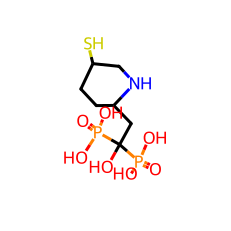 O=P(O)(O)C(O)(CC1CCC(S)CN1)P(=O)(O)O